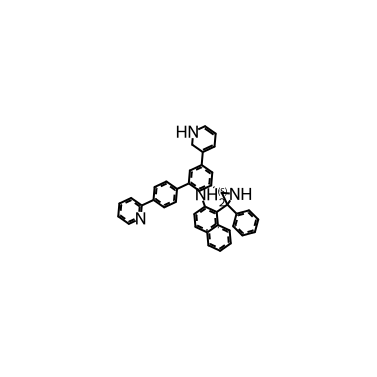 Nc1ccc2ccccc2c1C1(c2ccccc2)N[C@H]1c1cc(C2=CC=CNC2)cc(-c2ccc(-c3ccccn3)cc2)c1